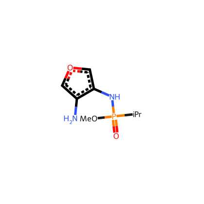 COP(=O)(Nc1cocc1N)C(C)C